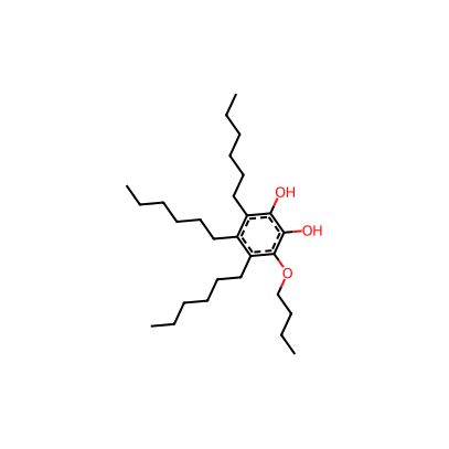 CCCCCCc1c(O)c(O)c(OCCCC)c(CCCCCC)c1CCCCCC